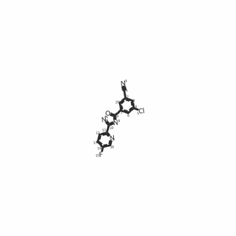 N#Cc1cc(Cl)cc(-c2nc(-c3ccc(F)cn3)no2)c1